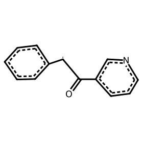 O=C([CH]c1ccccc1)c1cccnc1